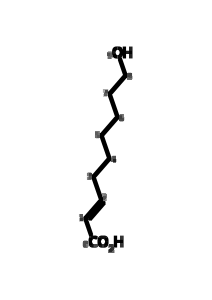 O=C(O)/C=C/CCCCCCO